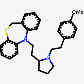 COc1ccc(CCN2CCCC2CCN2c3ccccc3CSc3ccccc32)cc1